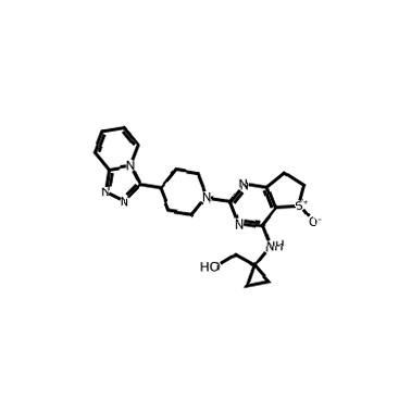 [O-][S+]1CCc2nc(N3CCC(c4nnc5ccccn45)CC3)nc(NC3(CO)CC3)c21